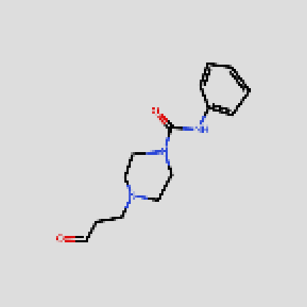 O=CCCN1CCN(C(=O)Nc2ccccc2)CC1